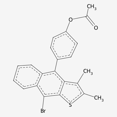 CC(=O)Oc1ccc(-c2c3ccccc3c(Br)c3sc(C)c(C)c23)cc1